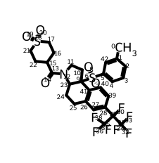 Cc1cccc(S(=O)(=O)C23CCN(C(=O)C4CCS(=O)(=O)CC4)C2CCc2cc(C(F)(C(F)(F)F)C(F)(F)F)ccc23)c1